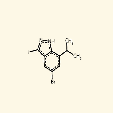 CC(C)c1cc(Br)cc2c(I)n[nH]c12